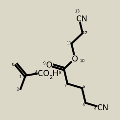 C=C(C)C(=O)O.N#CCCCC(=O)OCCC#N